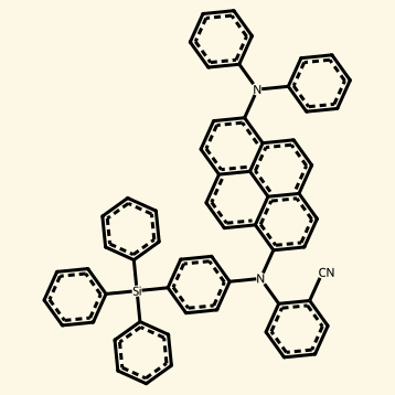 N#Cc1ccccc1N(c1ccc([Si](c2ccccc2)(c2ccccc2)c2ccccc2)cc1)c1ccc2ccc3c(N(c4ccccc4)c4ccccc4)ccc4ccc1c2c43